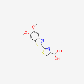 COC1=CC2N=C(C3=NC(C(O)O)CS3)SC2C=C1OC